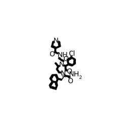 CC1CCN([C@H](Cc2cccc3ccccc23)C(N)=O)C(=O)C(c2cccc(Cl)c2)N1C(=O)CNC(=O)c1ccncc1